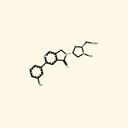 COC[C@@H]1C[C@@H](N2Cc3cnc(-c4cccc(C#N)c4)cc3C2=O)CN1C#N